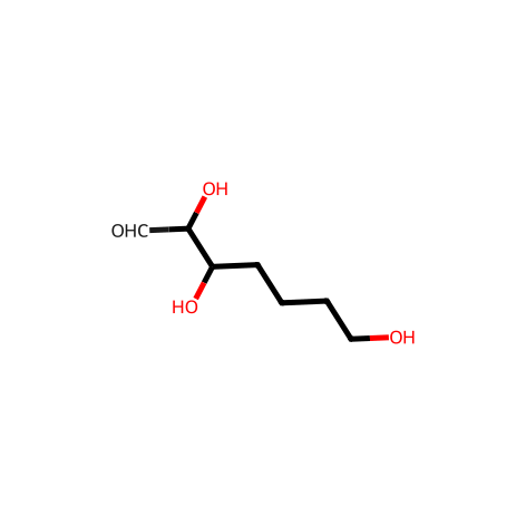 O=CC(O)C(O)CCCCO